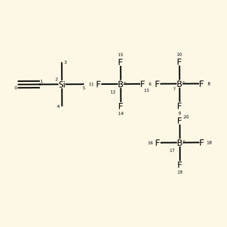 C#C[Si](C)(C)C.F[B-](F)(F)F.F[B-](F)(F)F.F[B-](F)(F)F